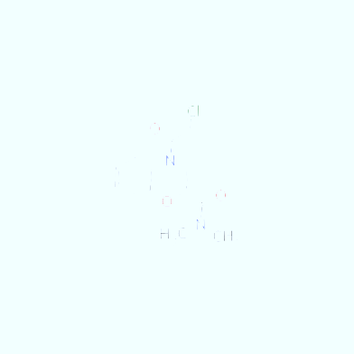 CN(C)C(=O)C1CN(C(=O)CCl)c2ccccc2O1